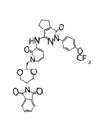 O=C1c2ccccc2C(=O)N1[C@H]1CO[C@H](Cn2cccc(Nc3nn(-c4ccc(OC(F)(F)F)cc4)c(=O)c4c3CCC4)c2=O)OC1